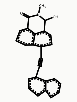 CN1C(=O)c2cccc3c(C#Cc4cccc5ccccc45)ccc(c23)C1O